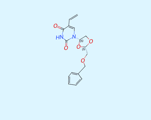 C=Cc1cn([C@@H]2CO[C@H](COCc3ccccc3)O2)c(=O)[nH]c1=O